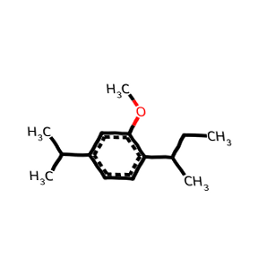 CCC(C)c1ccc(C(C)C)cc1OC